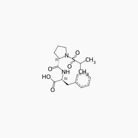 CC(C)S(=O)(=O)N1CCC[C@H]1C(=O)N[C@@H](Cc1ccccc1)C(=O)O